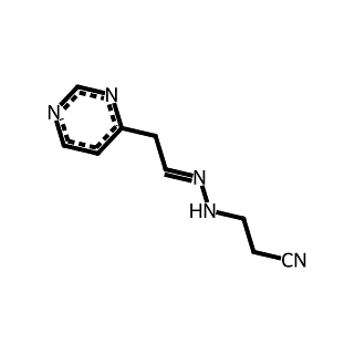 N#CCCNN=CCc1ccncn1